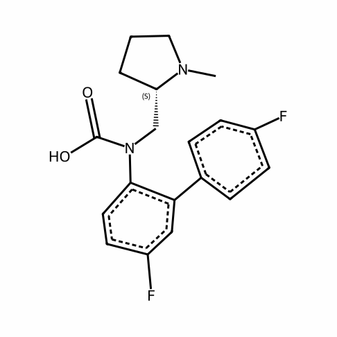 CN1CCC[C@H]1CN(C(=O)O)c1ccc(F)cc1-c1ccc(F)cc1